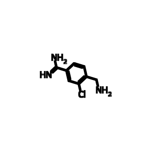 N=C(N)c1ccc(CN)c(Cl)c1